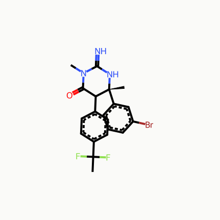 CN1C(=N)N[C@](C)(c2cccc(Br)c2)C(c2ccc(C(C)(F)F)cc2)C1=O